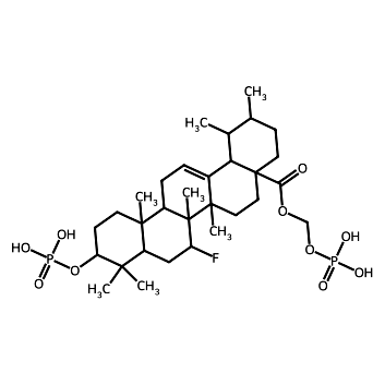 CC1CCC2(C(=O)OCOP(=O)(O)O)CCC3(C)C(=CCC4C5(C)CCC(OP(=O)(O)O)C(C)(C)C5CC(F)C43C)C2C1C